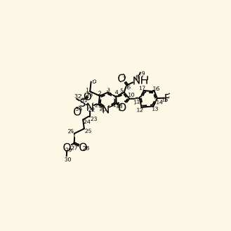 CCc1cc2c(C(=O)NC)c(-c3ccc(F)cc3)oc2nc1N(CCCCC(=O)OC)S(C)(=O)=O